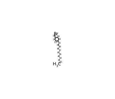 CCCCCCCCCCCCc1ccc(CBr)cc1